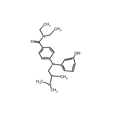 CCN(CC)C(=O)c1ccc(N(CC(C)N(C)C)c2cccc(O)c2)cc1